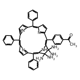 CC(=O)c1ccc(-c2c3nc(c(-c4ccccc4)c4ccc([nH]4)c(-c4ccccc4)c4nc(c(-c5ccccc5)c5[nH]c2C(N)(N)C5(N)N)C=C4)C=C3)cc1